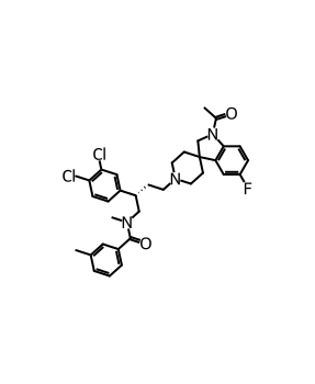 CC(=O)N1CC2(CCN(CC[C@H](CN(C)C(=O)c3cccc(C)c3)c3ccc(Cl)c(Cl)c3)CC2)c2cc(F)ccc21